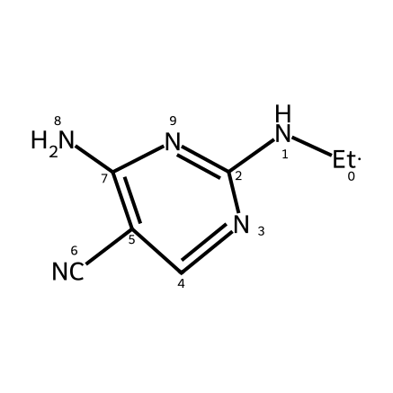 C[CH]Nc1ncc(C#N)c(N)n1